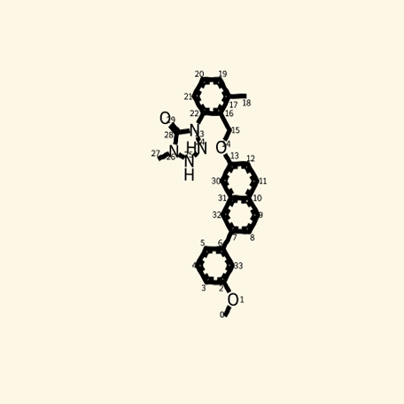 COc1cccc(-c2ccc3ccc(OCc4c(C)cccc4N4NNN(C)C4=O)cc3c2)c1